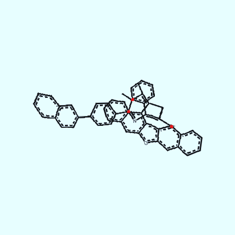 CC/C1=C(c2ccccc2)\N=C(\c2ccc(-c3ccc4ccccc4c3)cc2)C(C)/C(C)=C(\c2c3ccccc3cc3oc4cc5ccccc5cc4c23)C1